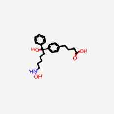 O=C(O)CCCc1ccc(C(O)([CH]CCCCNO)c2ccccc2)cc1